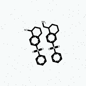 N#CC1CCCc2cc(S(=O)(=O)c3ccccc3)ccc21.NCC1CCCc2cc(S(=O)(=O)c3ccccc3)ccc21